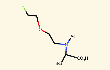 CCC(C)C(C(=O)O)N(CCOCCF)C(C)=O